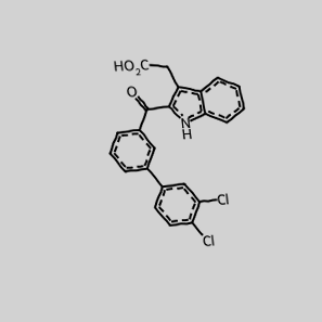 O=C(O)Cc1c(C(=O)c2cccc(-c3ccc(Cl)c(Cl)c3)c2)[nH]c2ccccc12